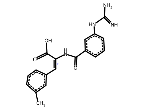 Cc1cccc(/C=C(/NC(=O)c2cccc(NC(=N)N)c2)C(=O)O)c1